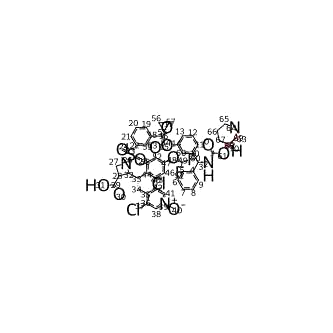 O=C(N[C@@H](c1ccccc1)c1cccc(OC(=O)c2cccc(S(=O)(=O)N3CC(C(=O)O)C3[C@@H](Cc3c(Cl)c[n+]([O-])cc3Cl)c3ccc(OC(F)F)c(OCC4CC4)c3)c2)c1)O[C@H]1CN2CCC1CC2